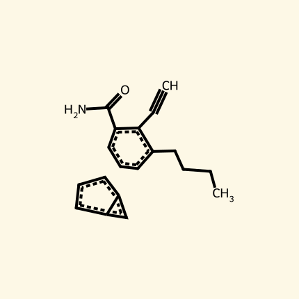 C#Cc1c(CCCC)cccc1C(N)=O.c1cc2cc-2c1